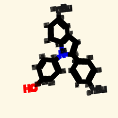 CCCCc1ccc(-c2cc3cc(CCCC)ccc3n2-c2ccc(O)cc2)cc1